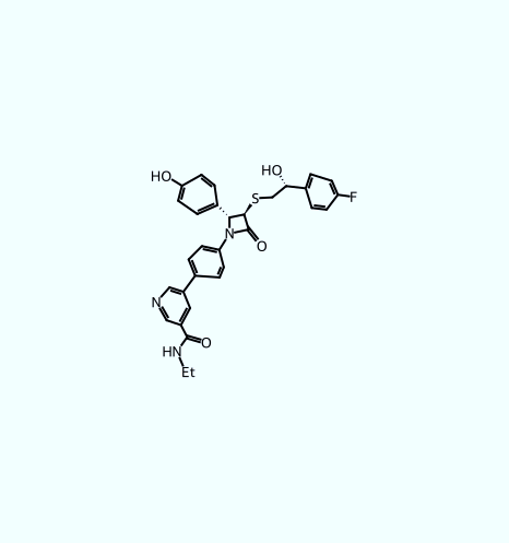 CCNC(=O)c1cncc(-c2ccc(N3C(=O)[C@H](SC[C@H](O)c4ccc(F)cc4)[C@H]3c3ccc(O)cc3)cc2)c1